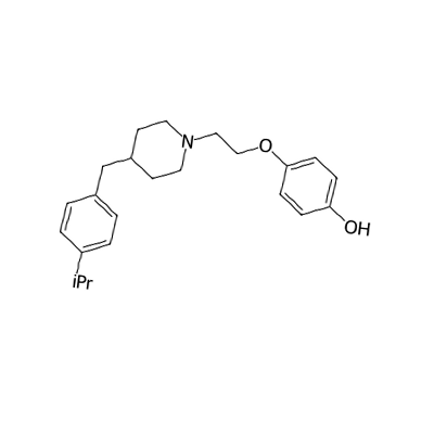 CC(C)c1ccc(CC2CCN(CCOc3ccc(O)cc3)CC2)cc1